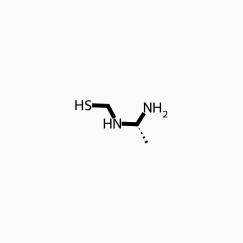 C[C@@H](N)NCS